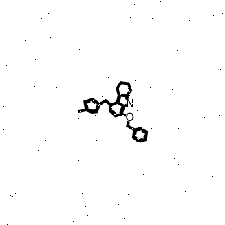 Cc1ccc(CC2C=CC(OCc3ccccc3)=C3N=C4CCCCC4=C32)cc1